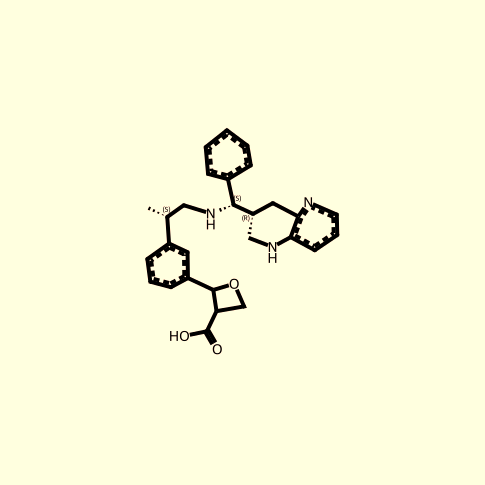 C[C@H](CN[C@H](c1ccccc1)[C@H]1CNc2cccnc2C1)c1cccc(C2OCC2C(=O)O)c1